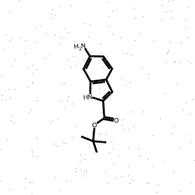 CC(C)(C)OC(=O)c1cc2ccc(N)cc2[nH]1